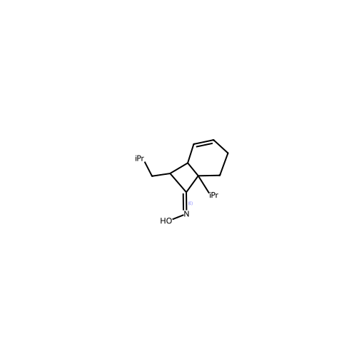 CC(C)CC1/C(=N\O)C2(C(C)C)CCC=CC12